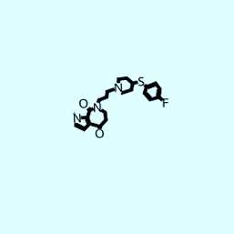 Cn1ccc2c1C(=O)N(CCCN1CCC(Sc3ccc(F)cc3)CC1)CCC2=O